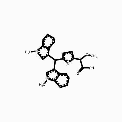 COC(C(=O)O)c1ccc(C(c2cn(C)c3ccccc23)c2cn(C)c3ccccc23)o1